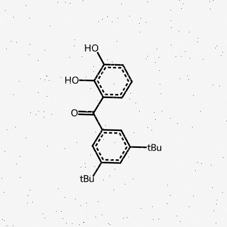 CC(C)(C)c1cc(C(=O)c2cccc(O)c2O)cc(C(C)(C)C)c1